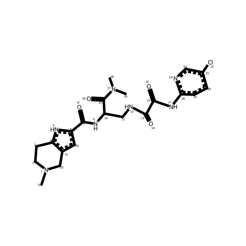 CN1CCc2[nH]c(C(=O)NC(CNC(=O)C(=O)Nc3ccc(Cl)cn3)C(=O)N(C)C)cc2C1